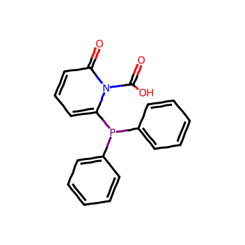 O=C(O)n1c(P(c2ccccc2)c2ccccc2)cccc1=O